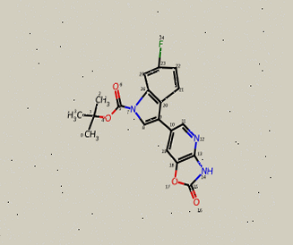 CC(C)(C)OC(=O)n1cc(-c2cnc3[nH]c(=O)oc3c2)c2ccc(F)cc21